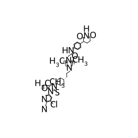 C[C@@H]1CN(CCC[C@H]2CC[C@H](N3C(=S)N(c4cnc(C#N)c(Cl)c4)C(=O)C3(C)C)CC2)C[C@H](C)N1CC(=O)Nc1ccc(C2CCC(=O)NC2=O)cc1